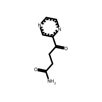 NC(=O)CCC(=O)c1cnccn1